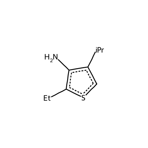 CCc1scc(C(C)C)c1N